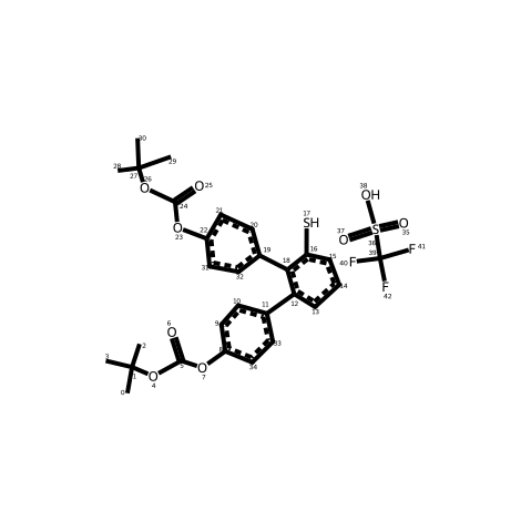 CC(C)(C)OC(=O)Oc1ccc(-c2cccc(S)c2-c2ccc(OC(=O)OC(C)(C)C)cc2)cc1.O=S(=O)(O)C(F)(F)F